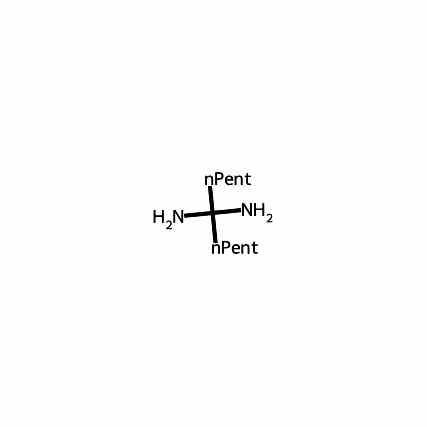 CCCCCC(N)(N)CCCCC